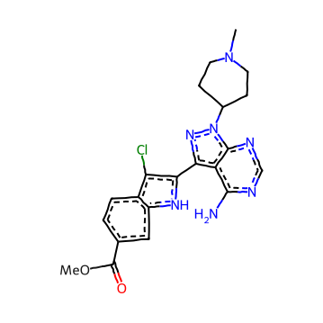 COC(=O)c1ccc2c(Cl)c(-c3nn(C4CCN(C)CC4)c4ncnc(N)c34)[nH]c2c1